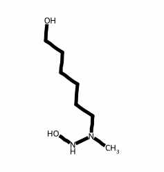 CN(CCCCCCO)NO